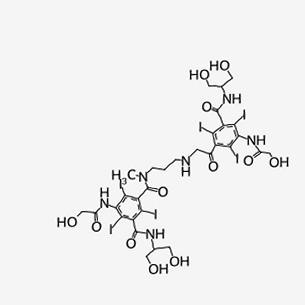 CN(CCCNCC(=O)c1c(I)c(NC(=O)CO)c(I)c(C(=O)NC(CO)CO)c1I)C(=O)c1c(I)c(NC(=O)CO)c(I)c(C(=O)NC(CO)CO)c1I